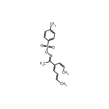 C\C=C/C(=C\C=C\C)C(=N/OS(=O)(=O)c1ccc(C(F)(F)F)cc1)/C(F)(F)F